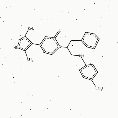 Cc1n[nH]c(C)c1-c1ccn(C(CNc2ccc(C(=O)O)cc2)Cc2ccccc2)c(=O)c1